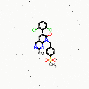 CSc1ncc2cc(-c3c(Cl)cccc3Cl)c(=O)n(Cc3ccc(S(C)(=O)=O)cc3)c2n1